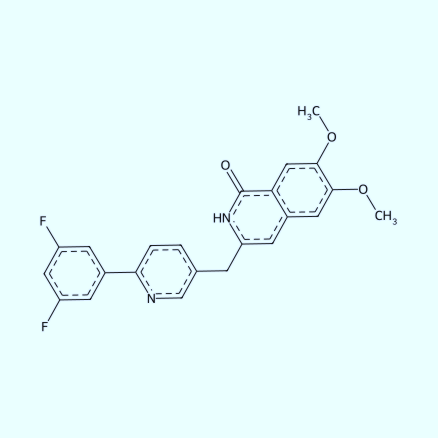 COc1cc2cc(Cc3ccc(-c4cc(F)cc(F)c4)nc3)[nH]c(=O)c2cc1OC